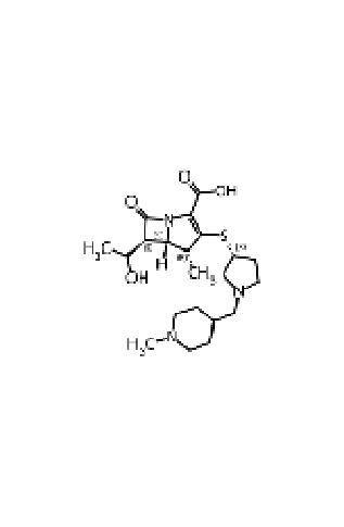 CC(O)[C@H]1C(=O)N2C(C(=O)O)=C(S[C@@H]3CCN(CC4CCN(C)CC4)C3)[C@H](C)[C@H]12